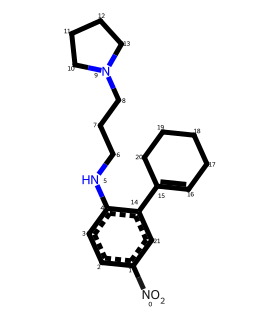 O=[N+]([O-])c1ccc(NCCCN2CCCC2)c(C2=CCCCC2)c1